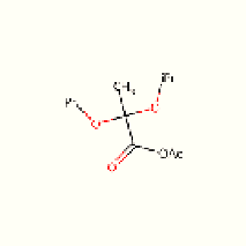 CC(=O)OC(=O)C(C)(OC(C)C)OC(C)C